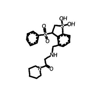 O=C(CNCc1cccc2c1C(S(=O)(=O)c1ccccc1)CS2(O)O)N1CCCCC1